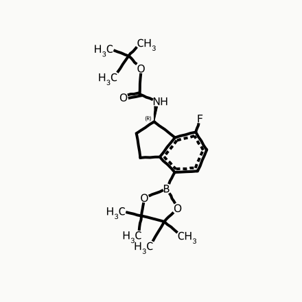 CC(C)(C)OC(=O)N[C@@H]1CCc2c(B3OC(C)(C)C(C)(C)O3)ccc(F)c21